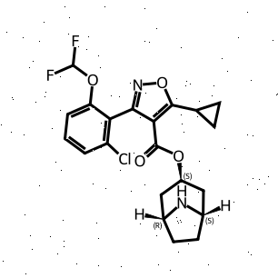 O=C(O[C@@H]1C[C@H]2CC[C@@H](C1)N2)c1c(-c2c(Cl)cccc2OC(F)F)noc1C1CC1